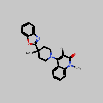 [2H]c1c(N2CCC(OC)(c3nc4ccccc4o3)CC2)c2ccccc2n(C)c1=O